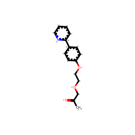 CC(=O)COCCOc1ccc(-c2ccccn2)cc1